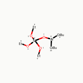 CCO[Si](OCC)(OCC)[O][Al]([O]CC(C)C)[O]CC(C)C